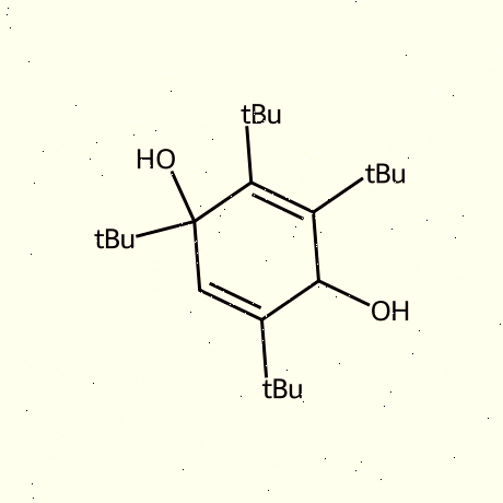 CC(C)(C)C1=CC(O)(C(C)(C)C)C(C(C)(C)C)=C(C(C)(C)C)C1O